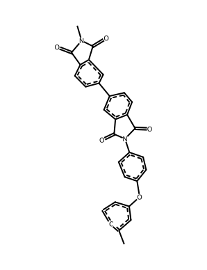 Cc1cccc(Oc2ccc(N3C(=O)c4ccc(-c5ccc6c(c5)C(=O)N(C)C6=O)cc4C3=O)cc2)c1